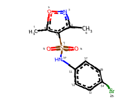 Cc1noc(C)c1S(=O)(=O)Nc1ccc(Br)cc1